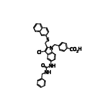 O=C(NCc1ccccc1)Nc1ccc2c(c1)c(Cl)c(CSc1ccc3ccccc3c1)n2Cc1ccc(C(=O)O)cc1